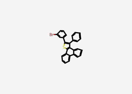 Brc1cccc(-c2sc3c4ccccc4c4ccccc4c3c2-c2ccccc2)c1